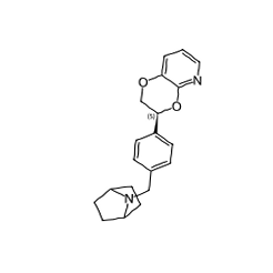 c1cnc2c(c1)OC[C@H](c1ccc(CN3C4CCC3CC4)cc1)O2